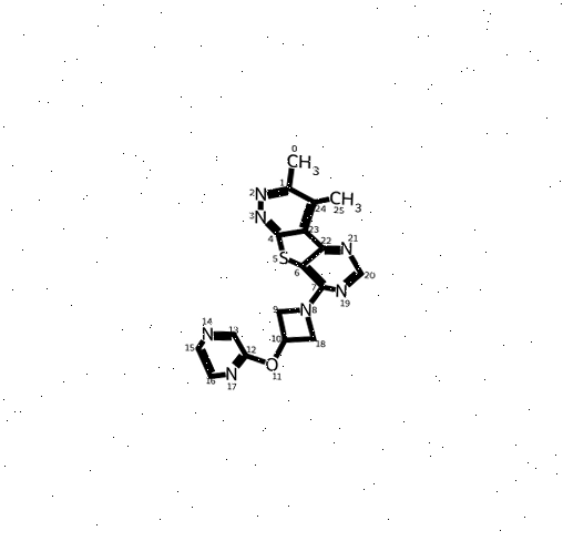 Cc1nnc2sc3c(N4CC(Oc5cnccn5)C4)ncnc3c2c1C